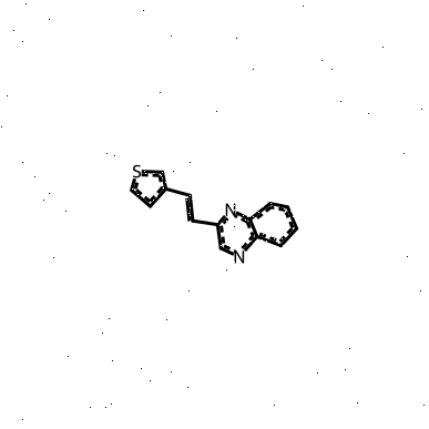 C(=Cc1cnc2ccccc2n1)c1ccsc1